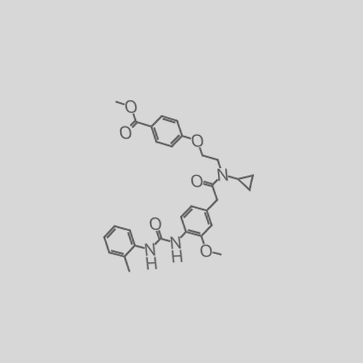 COC(=O)c1ccc(OCCN(C(=O)Cc2ccc(NC(=O)Nc3ccccc3C)c(OC)c2)C2CC2)cc1